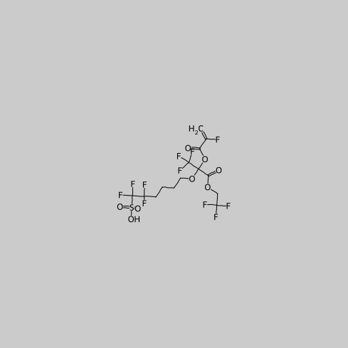 C=C(F)C(=O)OC(OCCCCC(F)(F)C(F)(F)S(=O)(=O)O)(C(=O)OCC(F)(F)F)C(F)(F)F